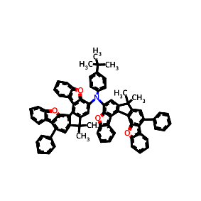 CC(C)(C)c1ccc(N(c2cc3c(c4c2oc2ccccc24)-c2c(cc(-c4ccccc4)c4c2oc2ccccc24)C3(C)C)c2cc3c(c4c2oc2ccccc24)-c2c(cc(-c4ccccc4)c4c2oc2ccccc24)C3(C)C)cc1